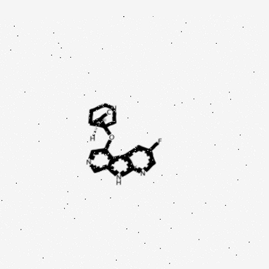 Fc1cnc2[nH]c3cncc(O[C@@H]4CN5CCC4CC5)c3c2c1